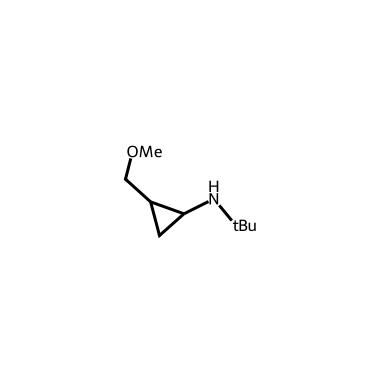 COCC1CC1NC(C)(C)C